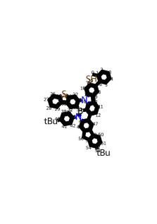 Cc1ccccc1-c1cc2c3ccc4c5c3n(c2cc1S)-c1cc2sc3ccccc3c2cc1B5N(c1ccc(C(C)(C)C)cc1)c1cc2c(cc1-4)-c1ccc(C(C)(C)C)cc1C2